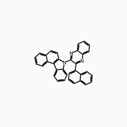 c1ccc2c(-c3nc4ccccc4nc3-n3c4ccccc4c4c5ccccc5ccc43)cccc2c1